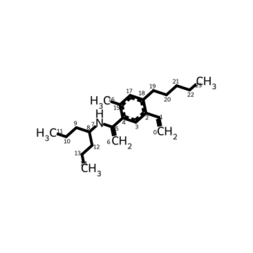 C=Cc1cc(C(=C)NC(CCC)CCC)c(C)cc1CCCCC